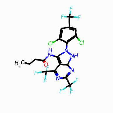 CCCC(=O)NC1=C2C(C(F)(F)F)=NC(C(F)(F)F)=NC2NN1c1c(Cl)cc(C(F)(F)F)cc1Cl